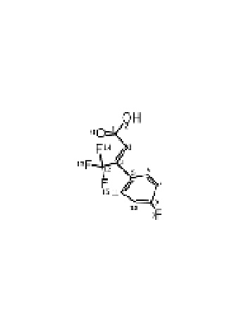 O=C(O)C=C(c1ccc(F)cc1)C(F)(F)F